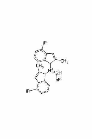 CCC[SiH]=[Hf]([CH]1C(C)=Cc2c(C(C)C)cccc21)[CH]1C(C)=Cc2c(C(C)C)cccc21